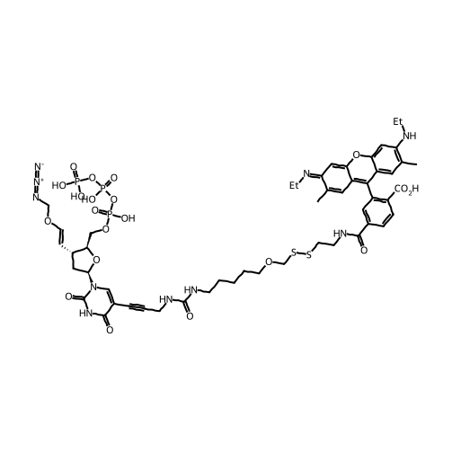 CC/N=c1/cc2oc3cc(NCC)c(C)cc3c(-c3cc(C(=O)NCCSSCOCCCCCNC(=O)NCC#Cc4cn([C@H]5C[C@H](/C=C/OCN=[N+]=[N-])[C@@H](COP(=O)(O)OP(=O)(O)OP(=O)(O)O)O5)c(=O)[nH]c4=O)ccc3C(=O)O)c-2cc1C